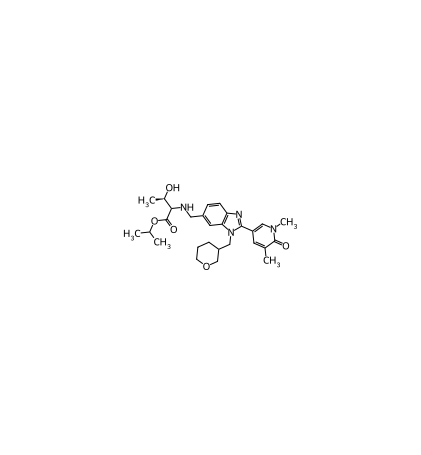 Cc1cc(-c2nc3ccc(CNC(C(=O)OC(C)C)[C@@H](C)O)cc3n2CC2CCCOC2)cn(C)c1=O